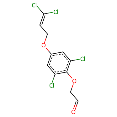 O=CCOc1c(Cl)cc(OCC=C(Cl)Cl)cc1Cl